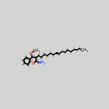 CCCCCCCCC=CCCCCCCC(C(N)=O)C(OC)c1ccccc1